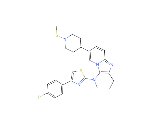 CCc1nc2ccc(C3CCN(SC)CC3)cn2c1N(C)c1nc(-c2ccc(F)cc2)cs1